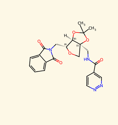 CC1(C)O[C@@H]2[C@@H](CN3C(=O)c4ccccc4C3=O)OC[C@]2(CNC(=O)c2ccnnc2)O1